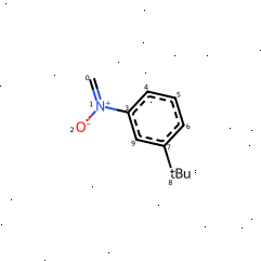 C=[N+]([O-])c1cccc(C(C)(C)C)c1